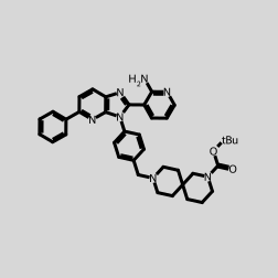 CC(C)(C)OC(=O)N1CCCC2(CCN(Cc3ccc(-n4c(-c5cccnc5N)nc5ccc(-c6ccccc6)nc54)cc3)CC2)C1